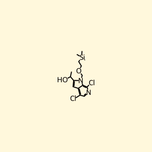 CC(O)c1cc2c(Cl)cnc(Cl)c2n1COCC[Si](C)(C)C